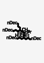 CCCCCCCCCCCCCC(CCCCCCCCCCCCC)C(C)(CC)C(CCC)C(C)(CC)C(CCCCCCCCCCCCC)CCCCCCCCCCCCC